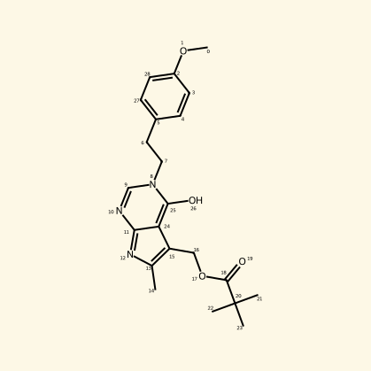 COc1ccc(CCn2cnc3nc(C)c(COC(=O)C(C)(C)C)c-3c2O)cc1